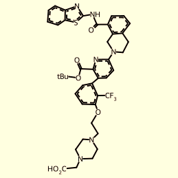 CC(C)(C)OC(=O)c1nc(N2CCc3cccc(C(=O)Nc4nc5ccccc5s4)c3C2)ccc1-c1cccc(OCCN2CCN(CC(=O)O)CC2)c1C(F)(F)F